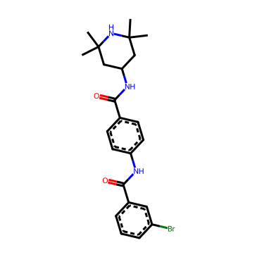 CC1(C)CC(NC(=O)c2ccc(NC(=O)c3cccc(Br)c3)cc2)CC(C)(C)N1